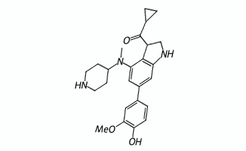 COc1cc(-c2cc3c(c(N(C)C4CCNCC4)c2)C(C(=O)C2CC2)CN3)ccc1O